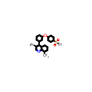 CCS(=O)(=O)c1ccc(Oc2cccc(-c3c(C(C)C)cnc4c(C(F)(F)F)cccc34)c2)cc1